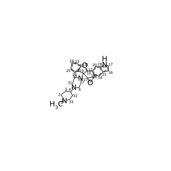 CN1CCC(N2CCN(C(C(=O)c3ccc4cc[nH]c4c3)(c3ccccc3)C3CO3)CC2)CC1